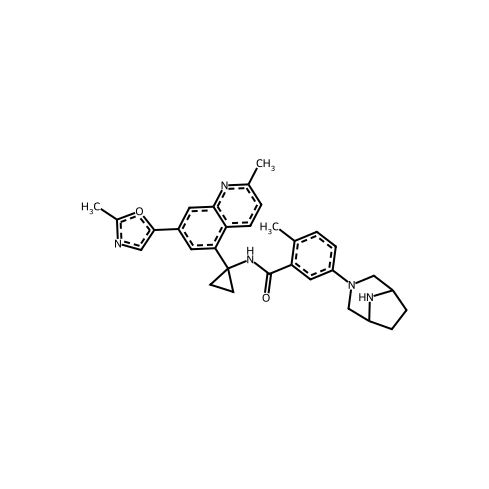 Cc1ccc2c(C3(NC(=O)c4cc(N5CC6CCC(C5)N6)ccc4C)CC3)cc(-c3cnc(C)o3)cc2n1